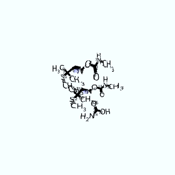 CNC(=O)O/N=C/C(C)(C)SC.CNC(=O)O/N=C/C(C)(C)SC.NC(=O)O